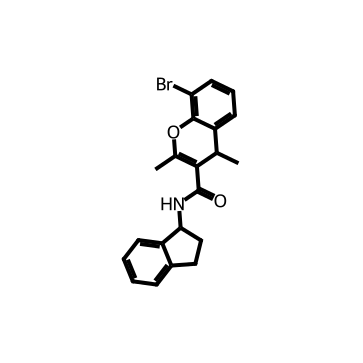 CC1=C(C(=O)NC2CCc3ccccc32)C(C)c2cccc(Br)c2O1